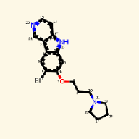 CCc1cc2c(cc1OCCCN1CCCC1)[nH]c1ccncc12